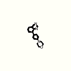 c1cc(-c2ccc(N3CCOCC3)cc2)c2ncncc2c1